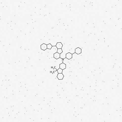 CC1(C)C2CCCCC2C2CCC(N(C3CCC(C4CCCCC4)CC3)C3CCCC4C3CC3CCCC(C5CC6CCCCC6C5)C34)CC21